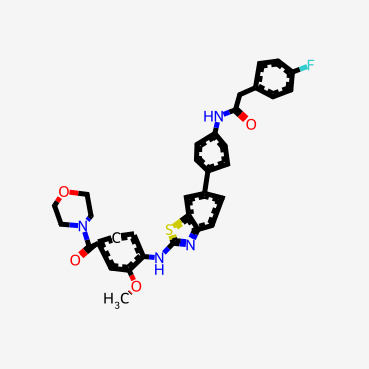 COc1cc(C(=O)N2CCOCC2)ccc1Nc1nc2ccc(-c3ccc(NC(=O)Cc4ccc(F)cc4)cc3)cc2s1